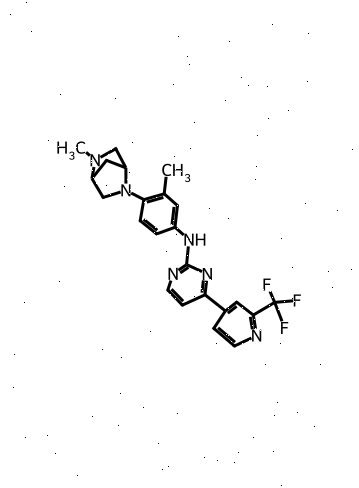 Cc1cc(Nc2nccc(-c3ccnc(C(F)(F)F)c3)n2)ccc1N1CC2CC1CN2C